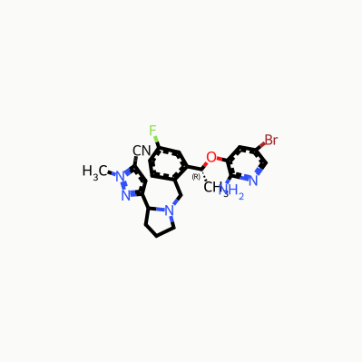 C[C@@H](Oc1cc(Br)cnc1N)c1cc(F)ccc1CN1CCCC1c1cc(C#N)n(C)n1